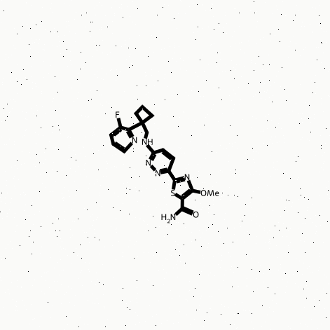 COc1nc(-c2ccc(NCC3(c4ncccc4F)CCC3)nn2)sc1C(N)=O